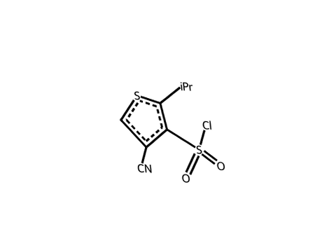 CC(C)c1scc(C#N)c1S(=O)(=O)Cl